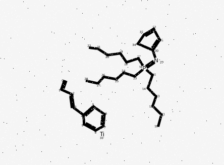 C=CC=Cc1ccccc1.CCCCCCP(CCCCCC)(CCCCCC)=NC1=CC=CC1.[Ti]